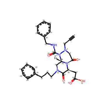 C#CCN1CC(=O)N2[C@@H](CC(=O)O)C(=O)N(CCCc3ccccc3)C[C@@H]2N1C(=O)NCc1ccccc1